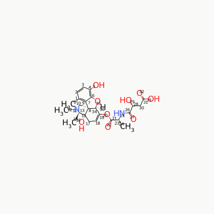 Cc1ccc(O)c2c1[C@]13CCN(C)[C@H](C)[C@]1(O)CC=C(OC(=O)[C@H](C)NC(=O)[C@@H](O)CC(=O)O)[C@@H]3O2